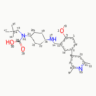 COc1ccc(-c2cc(C)nc(C)c2)cc1CNC1CCC(N(CC(C)(C)C)C(=O)O)CC1